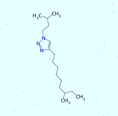 CCC(C)CCCCCCc1cn(CCC(C)C)nn1